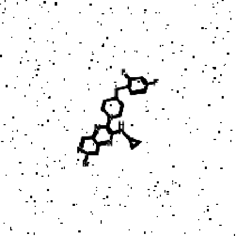 Fc1ccc(CC2CCN(c3nc4cnc(Br)cc4nc3NC3CC3)CC2)c(F)c1